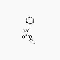 O=C(NCc1ccccc1)OC(F)(F)F